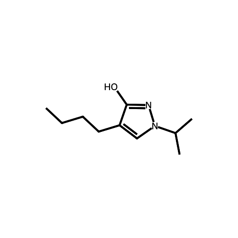 CCCCc1cn(C(C)C)nc1O